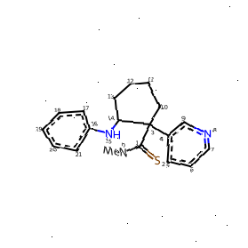 CNC(=S)C1(c2cccnc2)CCCCC1Nc1ccccc1